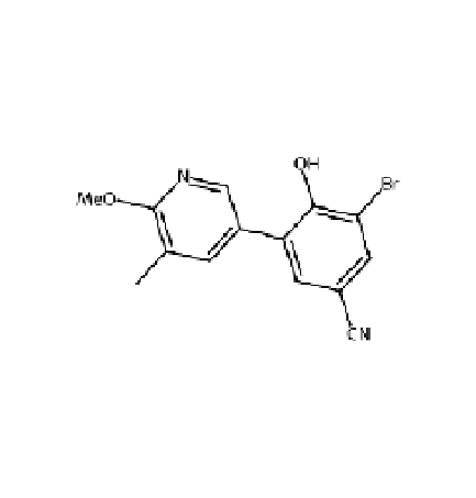 COc1ncc(-c2cc(C#N)cc(Br)c2O)cc1C